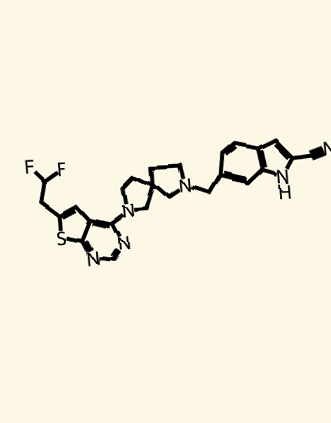 N#Cc1cc2ccc(CN3CCC4(CCN(c5ncnc6sc(CC(F)F)cc56)C4)C3)cc2[nH]1